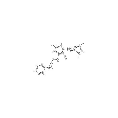 Cc1nc(NCc2sc(C)nc2C)c(F)c(OCC2CC2c2ccccn2)n1